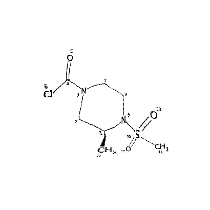 C[C@H]1CN(C(=O)Cl)CCN1S(C)(=O)=O